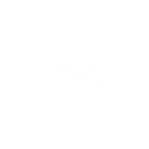 CC(C)(C)OC(=O)N1CCc2cc(N3CCCCCC3=O)ccc21